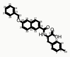 O=C(NC(Cc1ccc(I)cc1)C(=O)O)c1ccc2cc(OCc3ccccc3)ccc2c1